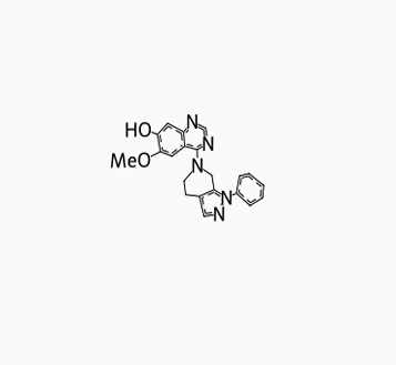 COc1cc2c(N3CCc4cnn(-c5ccccc5)c4C3)ncnc2cc1O